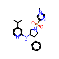 CC(C)c1ccnc(N[C@H]2CN(S(=O)(=O)c3cn(C)cn3)C[C@@H]2c2ccccc2)c1